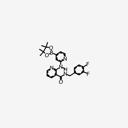 CN(c1cc(B2OC(C)(C)C(C)(C)O2)ccn1)c1ncccc1C(=O)NCc1ccc(F)c(F)c1